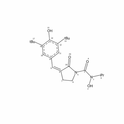 CC(C)N(O)C(=O)N1CC/C(=C/c2cc(C(C)(C)C)c(O)c(C(C)(C)C)c2)C1=O